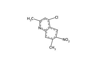 Cc1cc(Cl)c2cc([N+](=O)[O-])c(C)cc2n1